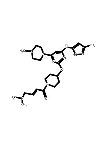 Cc1cc(Nc2cc(N3CCN(C)CC3)nc(OC3CCN(C(=O)/C=C/CN(C)C)CC3)n2)[nH]n1